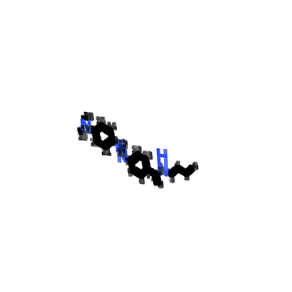 C=C(NCCCC)c1ccc(/N=N/c2ccc(N(C)C)cc2)cc1